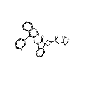 NC1(CC(=O)N2CC3(C2)C(=O)N(Cc2ncc4ccccc4c2-c2cccnc2)c2ccccc23)CC1